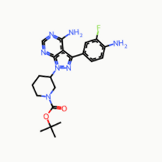 CC(C)(C)OC(=O)N1CCCC(n2nc(-c3ccc(N)c(F)c3)c3c(N)ncnc32)C1